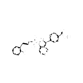 O=C(O)c1ccc(-c2nn(S(=O)(=O)CC=Cc3ccccc3Cl)c3ccncc23)cc1